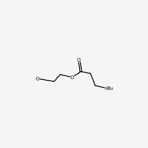 CCCCCCC(=O)OCC[O]